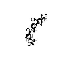 CC(=O)Nc1nccc(C(=O)N[C@@H]2CCN(c3ncc(C(F)(F)F)cc3Cl)C2)n1